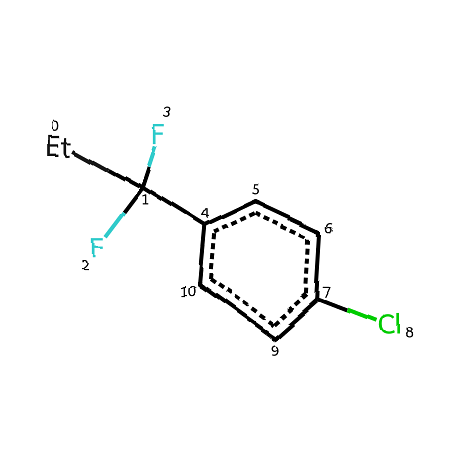 CCC(F)(F)c1ccc(Cl)cc1